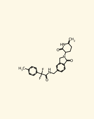 C=C1CCC(N2Cc3cc(CNC(=O)C(F)(F)c4ccc(C)cc4)ccc3C2=O)C(=O)N1